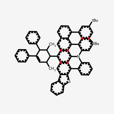 CC1C=C(c2ccccc2)C(c2ccccc2)C(C)C1c1ccc(N(c2ccccc2-c2cccc3c2sc2ccccc23)c2ccccc2-c2cccc3cccc(-c4cc(C(C)(C)C)cc(C(C)(C)C)c4)c23)cc1